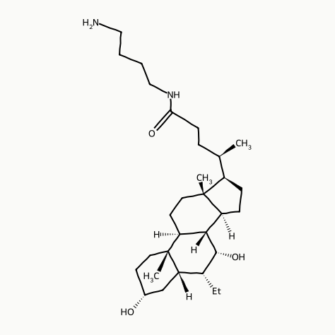 CC[C@H]1[C@@H](O)[C@@H]2[C@H](CC[C@]3(C)[C@@H]([C@H](C)CCC(=O)NCCCCN)CC[C@@H]23)[C@@]2(C)CC[C@@H](O)C[C@@H]12